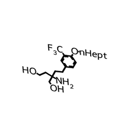 CCCCCCCOc1ccc(CCC(N)(CO)CCO)cc1C(F)(F)F